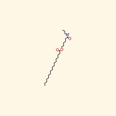 CCCCCCCCCCCCCCCCCC(=O)OCCCCCC(=O)N(C)CCC